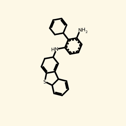 Nc1cccc(NC2C=C3C(=CC2)SC2C=CC=CC32)c1C1C=CC=CC1